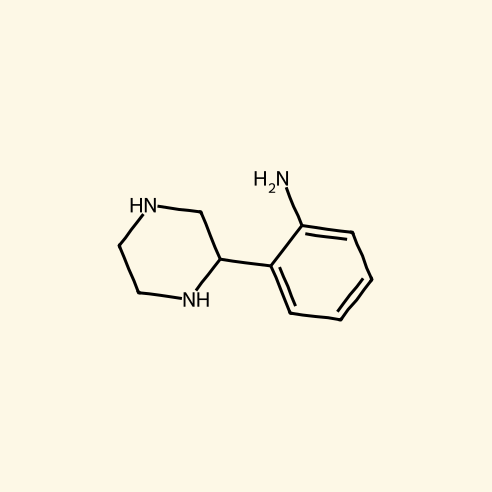 Nc1ccccc1C1CNCCN1